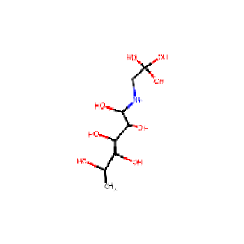 CC(O)C(O)C(O)C(O)C(O)NCC(O)(O)O